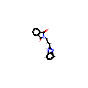 O=C1c2ccccc2C(=O)N1CCCc1nc2ccccc2[nH]1